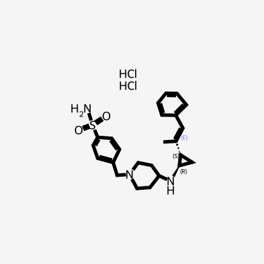 C/C(=C\c1ccccc1)[C@@H]1C[C@H]1NC1CCN(Cc2ccc(S(N)(=O)=O)cc2)CC1.Cl.Cl